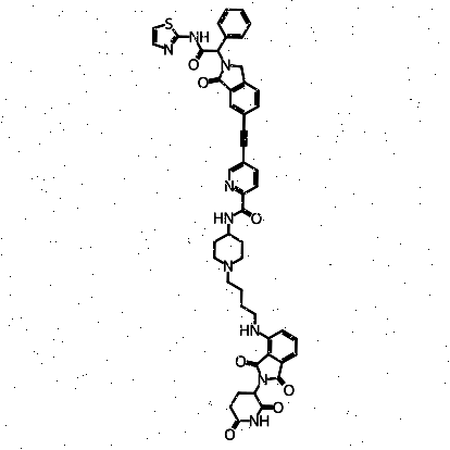 O=C1CCC(N2C(=O)c3cccc(NCCCCN4CCC(NC(=O)c5ccc(C#Cc6ccc7c(c6)C(=O)N(C(C(=O)Nc6nccs6)c6ccccc6)C7)cn5)CC4)c3C2=O)C(=O)N1